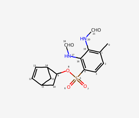 Cc1ccc(S(=O)(=O)OC2CC3C=CC2C3)c(NC=O)c1NC=O